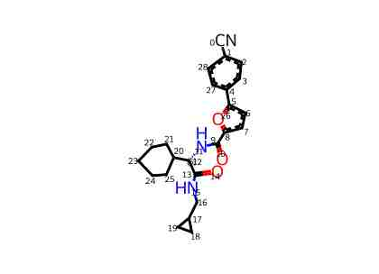 N#Cc1ccc(-c2ccc(C(=O)N[C@H](C(=O)NCC3CC3)C3CCCCC3)o2)cc1